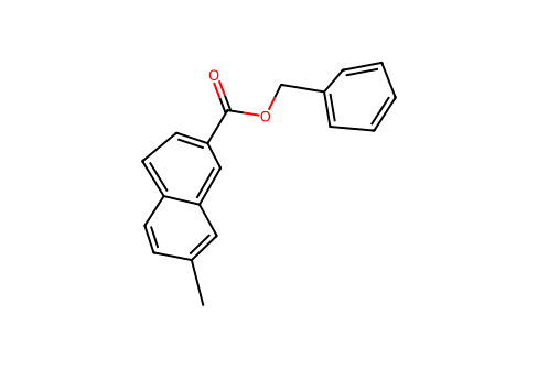 Cc1ccc2ccc(C(=O)OCc3ccccc3)cc2c1